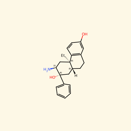 CC[C@@]12C[C@H](N)[C@](O)(c3ccccc3)C[C@H]1CCc1cc(O)ccc12